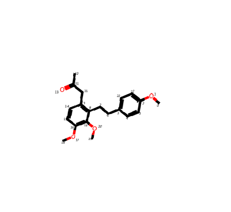 COc1ccc(CCc2c(CC(C)=O)ccc(OC)c2OC)cc1